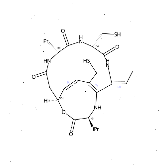 C\C=C1NC(=O)[C@@H](CS)NC(=O)[C@@H](C(C)C)NC(=O)C[C@H]2\C=C/C(CS)=C/1N[C@@H](C(C)C)C(=O)O2